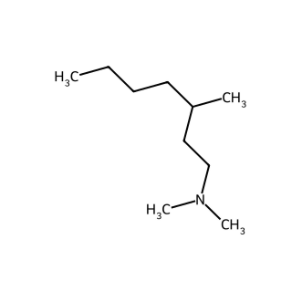 CCCCC(C)CCN(C)C